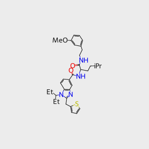 CCC(CC)n1c(Cc2cccs2)nc2cc(C(=O)NC(CCC(C)C)C(=O)NCCc3cccc(OC)c3)ccc21